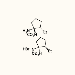 Br.CC[C@@H]1CCC[C@@]1(N)C(=O)O.CC[C@H]1CCC[C@]1(N)C(=O)O